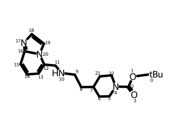 CC(C)(C)OC(=O)N1CCC(CCNCc2cccc3nccn23)CC1